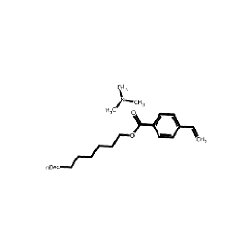 C=Cc1ccc(C(=O)OCCCCCCCCCCCCCCCC)cc1.CN(C)C